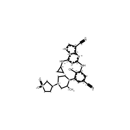 C[C@H]1CN([C@H]2CCS(=O)(=O)C2)CCN1c1cc(C#N)cc(Nc2nc(NC3CC3)n3ncc(C#N)c3n2)c1Cl